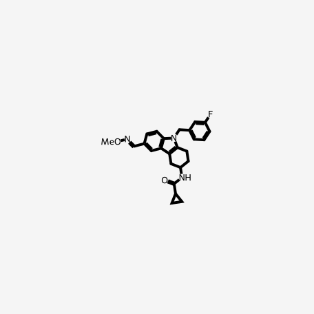 CON=Cc1ccc2c(c1)c1c(n2Cc2cccc(F)c2)CCC(NC(=O)C2CC2)C1